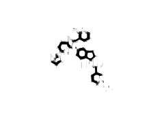 COc1ccc(C(=O)N[C@H]2CCc3cc(-n4c(-c5cccnc5N)nc5ccc(-n6cccn6)nc54)ccc32)cn1